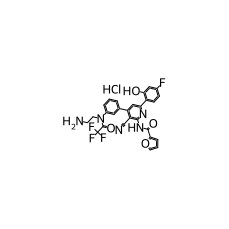 Cl.N#Cc1c(-c2cccc(N(CCN)C(=O)C(F)(F)F)c2)cc(-c2ccc(F)cc2O)nc1NC(=O)c1ccco1